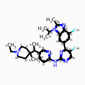 CCN1CCC(C)(C(C)c2ccc(Nc3ncc(F)c(-c4cc(F)c5nc(C)n(C(C)C)c5c4)n3)nc2)CC1